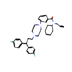 C=CCN(C(=O)c1cccc(N2CCN(CCC(c3ccc(F)cc3)c3ccc(F)cc3)CC2)c1)C1CCCCC1